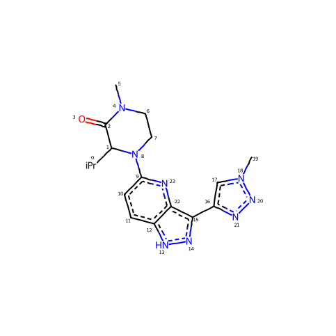 CC(C)C1C(=O)N(C)CCN1c1ccc2[nH]nc(-c3cn(C)nn3)c2n1